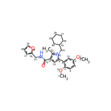 COc1ccc(OC)c(-c2cc(C(=O)NCc3ccco3)c(C)n2CC2CCCCC2)c1